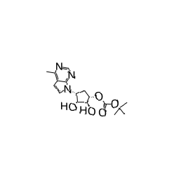 Cc1ncnc2c1ccn2[C@@H]1C[C@H](OC(=O)OC(C)(C)C)[C@@H](O)[C@H]1O